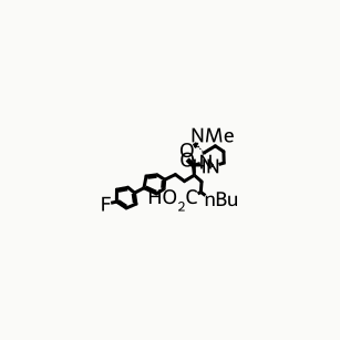 CCCCC(CC(CCc1ccc(-c2ccc(F)cc2)cc1)C(=O)N1NCCC[C@H]1C(=O)NC)C(=O)O